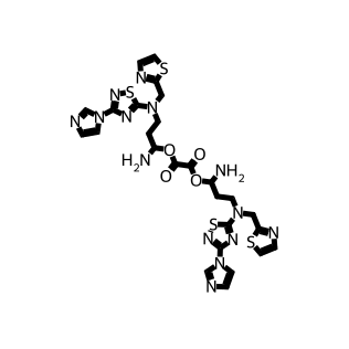 NC(CCN(Cc1nccs1)c1nc(-n2ccnc2)ns1)OC(=O)C(=O)OC(N)CCN(Cc1nccs1)c1nc(-n2ccnc2)ns1